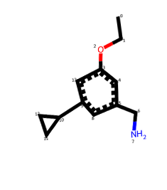 CCOc1cc(CN)cc(C2CC2)c1